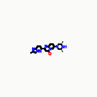 Cc1cn2nc(-c3cc(=O)n4cc(N5C[C@@H](C)N[C@@H](C)C5)ccc4n3)ccc2n1